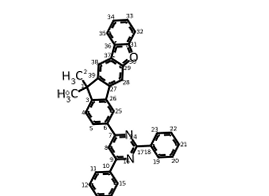 CC1(C)c2ccc(-c3cc(-c4ccccc4)nc(-c4ccccc4)n3)cc2-c2cc3oc4ccccc4c3cc21